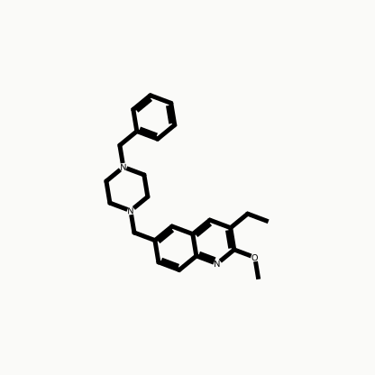 CCc1cc2cc(CN3CCN(Cc4ccccc4)CC3)ccc2nc1OC